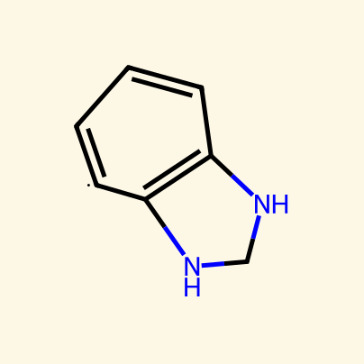 [c]1cccc2c1NCN2